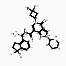 C[C@@H](NC(=O)c1cn(C2CC(F)(F)C2)c(=O)c2cn(C3CCCCO3)nc12)c1cccc2c1CCC2(F)F